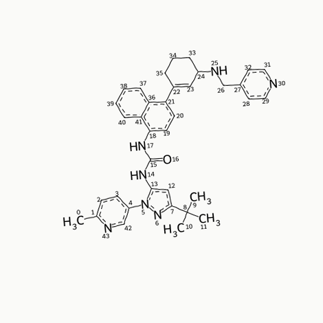 Cc1ccc(-n2nc(C(C)(C)C)cc2NC(=O)Nc2ccc(C3=CC(NCc4ccncc4)CCC3)c3ccccc23)cn1